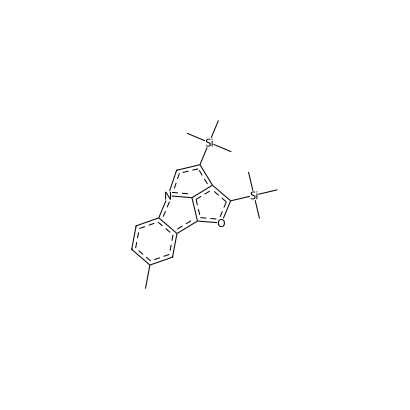 Cc1ccc2c(c1)c1oc([Si](C)(C)C)c3c([Si](C)(C)C)cn2c31